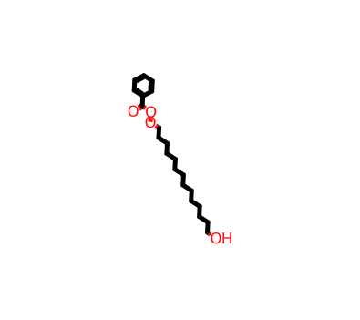 O=C(OOCCCCCCCCCCCCCCO)c1ccccc1